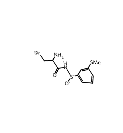 CSc1cccc([S+]([O-])NC(=O)C(N)CC(C)C)c1